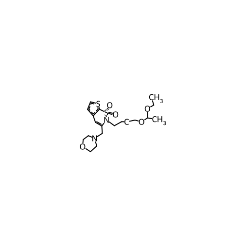 CCOC(C)OCCCCN1C(CN2CCOCC2)=Cc2ccsc2S1(=O)=O